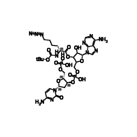 CC(C)(C)OC(=O)N[C@H](CCCCN=[N+]=[N-])C(=O)OC1C(COP(=O)(O)O[C@H]2C[C@H](n3ccc(N)nc3=O)O[C@@H]2COP(=O)(O)O)OC(n2cnc3c(N)ncnc32)C1O